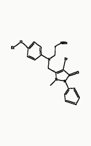 CCOc1ccc(N(CCNC)Cc2c(Br)c(=O)n(-c3ccccc3)n2C)cc1